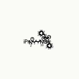 CC(C)N(C)C(=O)CCCCN(C)C(=O)O[C@@H](Cc1ccccc1)C(=O)OCc1ccccc1